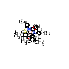 Cc1cc2c3c(c1)N(c1ccc(C(C)(C)C)cc1)c1sc4c(c1B3c1cc3c(cc1N2c1ccc(C(C)(C)C)cc1-c1ccccc1)C(C)(C)CCC3(C)C)C(C)(C)CCC4(C)C